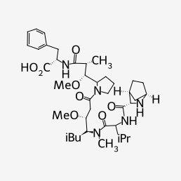 CC[C@H](C)[C@@H]([C@@H](CC(=O)N1CCCC1[C@H](OC)[C@@H](C)C(=O)N[C@@H](Cc1ccccc1)C(=O)O)OC)N(C)C(=O)C(NC(=O)[C@H]1N[C@@H]2CC[C@H]1C2)C(C)C